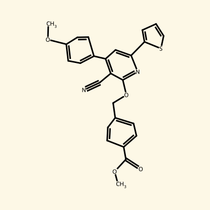 COC(=O)c1ccc(COc2nc(-c3cccs3)cc(-c3ccc(OC)cc3)c2C#N)cc1